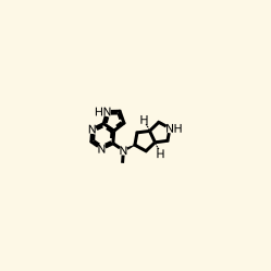 CN(c1ncnc2[nH]ccc12)[C@H]1C[C@H]2CNC[C@H]2C1